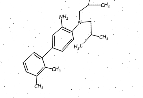 Cc1cccc(-c2ccc(N(CC(C)C)CC(C)C)c(N)c2)c1C